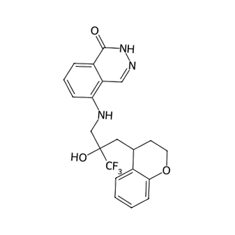 O=c1[nH]ncc2c(NCC(O)(CC3CCOc4ccccc43)C(F)(F)F)cccc12